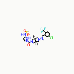 CN(Cc1cc(Cl)ccc1C(F)(F)F)N1C[C@H]2CN(C(=O)N3C=CC(NS(C)(=O)=O)N3)C[C@H]2C1